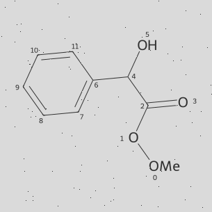 COOC(=O)C(O)c1ccccc1